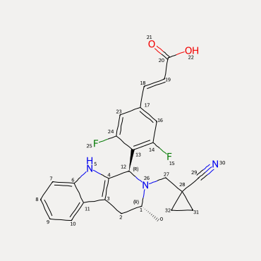 C[C@@H]1Cc2c([nH]c3ccccc23)[C@@H](c2c(F)cc(C=CC(=O)O)cc2F)N1CC1(C#N)CC1